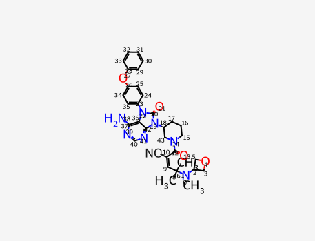 CN(C1COC1)C(C)(C)/C=C(/C#N)C(=O)N1CCC[C@H](n2c(=O)n(-c3ccc(Oc4ccccc4)cc3)c3c(N)ncnc32)C1